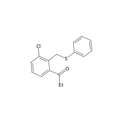 CCC(=O)c1cccc(Cl)c1CSc1ccccc1